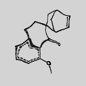 COc1cccc2c1C(=O)C1(CC2)CC2C=CC1C2